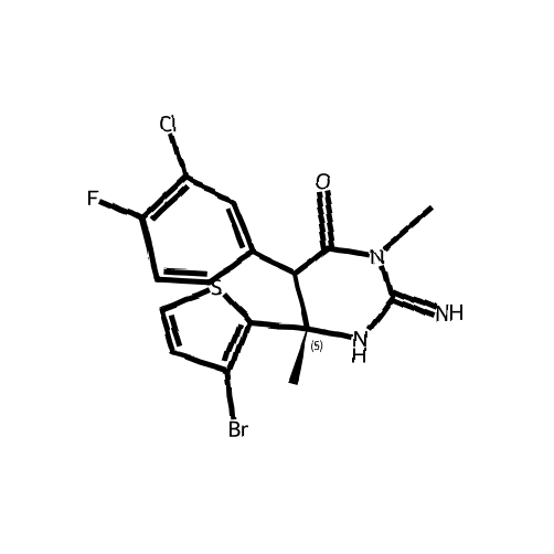 CN1C(=N)N[C@](C)(c2sccc2Br)C(c2ccc(F)c(Cl)c2)C1=O